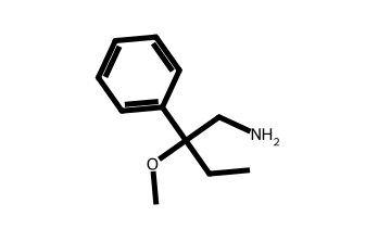 CCC(CN)(OC)c1ccccc1